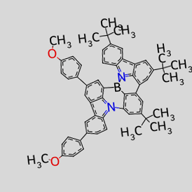 COc1ccc(-c2ccc3c(c2)c2cc(-c4ccc(OC)cc4)cc4c2n3-c2cc(C(C)(C)C)cc3c2B4n2c4ccc(C(C)(C)C)cc4c4cc(C(C)(C)C)cc-3c42)cc1